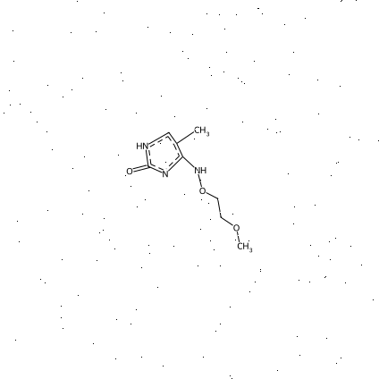 COCCONc1nc(=O)[nH]cc1C